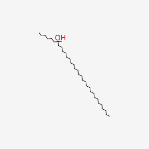 CCCCCCCCCCCCCCCCCCCCCCCCCCC(C)(O)CCCCCC